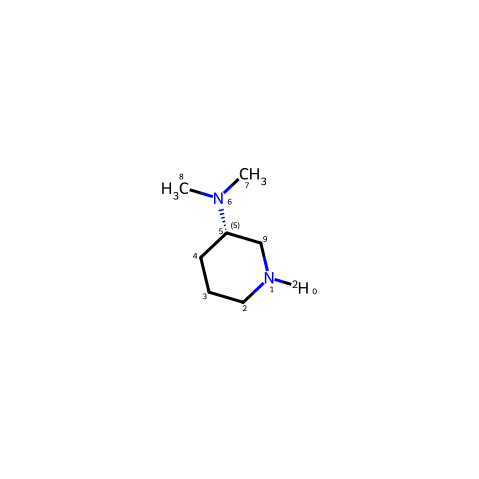 [2H]N1CCC[C@H](N(C)C)C1